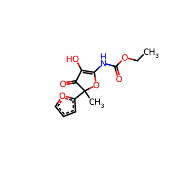 CCOC(=O)NC1=C(O)C(=O)C(C)(c2ccco2)O1